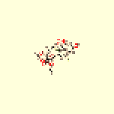 CCOC(=O)C(=O)[C@@]12OC(C)(C)O[C@@H]1CC1C3C[C@H](F)C4=CC(=O)C=CC4(C)[C@@]3(F)C(O)CC12C